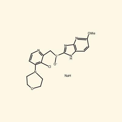 COc1ccc2[nH]c([S+]([O-])Cc3nccc(N4CCOCC4)c3Cl)nc2n1.[NaH]